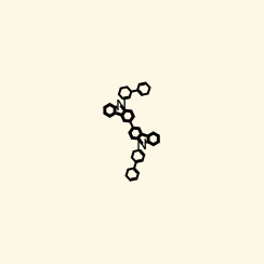 C1=CCCC(C2=CC=C(n3c4ccccc4c4cc(-c5ccc6c(c5)c5ccccc5n6C5=CC(C6=CCCC=C6)CCC5)ccc43)CC2)=C1